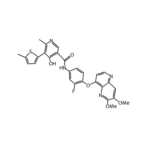 COc1cc2nccc(Oc3ccc(NC(=O)c4cnc(C)c(-c5ccc(C)s5)c4O)cc3F)c2nc1OC